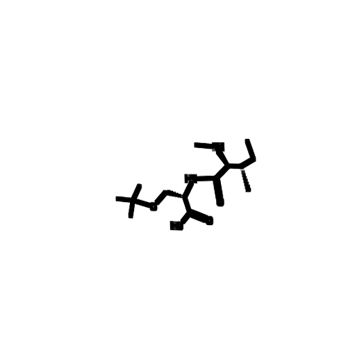 CC[C@H](C)[C@H](NC)C(=O)N[C@@H](COC(C)(C)C)C(=O)O